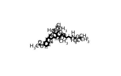 CCC1(OC(=O)CCCNC(=O)OC(C)(C)C)C(=O)OC([Si](C)(C)CCl)c2c1cc1n(c2=O)Cc2cc3cc(OC(C)=O)ccc3nc2-1